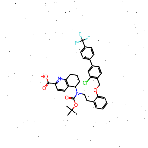 CC(C)(C)OC(=O)N(CCc1ccccc1OCc1ccc(-c2ccc(C(F)(F)F)cc2)cc1Cl)C1CCCc2nc(C(=O)O)ccc21